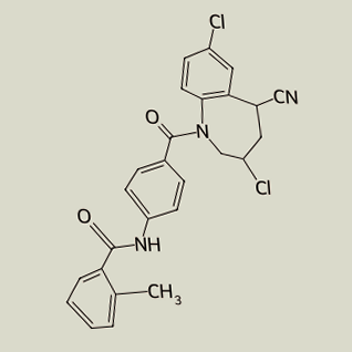 Cc1ccccc1C(=O)Nc1ccc(C(=O)N2CC(Cl)CC(C#N)c3cc(Cl)ccc32)cc1